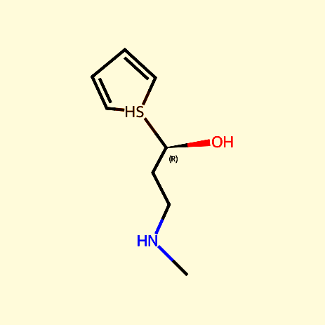 CNCC[C@H](O)[SH]1C=CC=C1